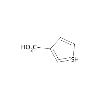 O=C(O)C1=C=[SH]C=C1